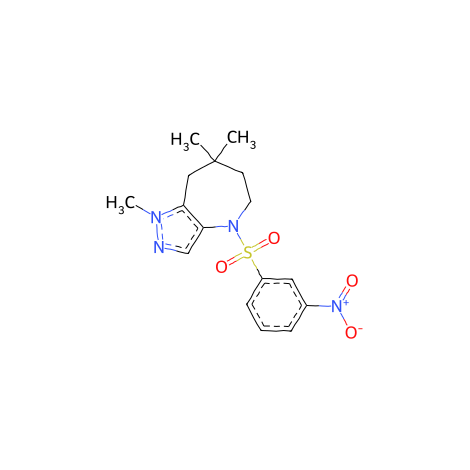 Cn1ncc2c1CC(C)(C)CCN2S(=O)(=O)c1cccc([N+](=O)[O-])c1